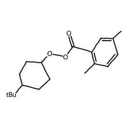 Cc1ccc(C)c(C(=O)OO[C]2CCC(C(C)(C)C)CC2)c1